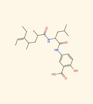 C/C=C(/CC)C(C)CC(C)C(=O)NC(CC(C)C)C(=O)Nc1ccc(O)c(C(=O)O)c1